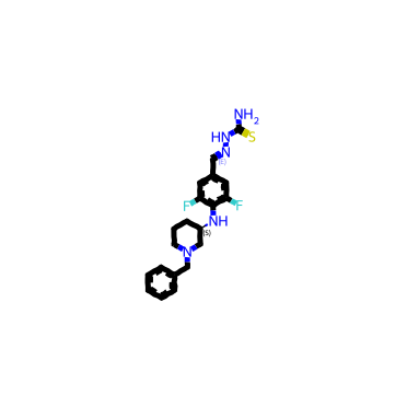 NC(=S)N/N=C/c1cc(F)c(N[C@H]2CCCN(Cc3ccccc3)C2)c(F)c1